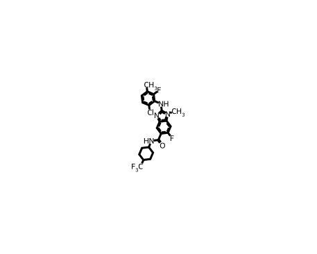 Cc1ccc(Cl)c(Nc2nc3cc(C(=O)NC4CCC(C(F)(F)F)CC4)c(F)cc3n2C)c1F